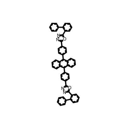 c1ccc(-c2ccccc2-c2nnc(-c3ccc(-c4c5ccccc5c(-c5ccc(-c6nnc(-c7ccccc7-c7ccccc7)o6)cc5)c5ccccc45)cc3)o2)cc1